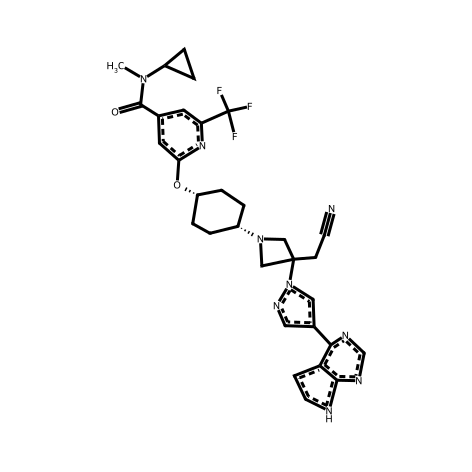 CN(C(=O)c1cc(O[C@H]2CC[C@@H](N3CC(CC#N)(n4cc(-c5ncnc6[nH]ccc56)cn4)C3)CC2)nc(C(F)(F)F)c1)C1CC1